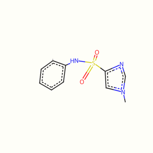 Cn1cnc(S(=O)(=O)Nc2[c]cccc2)c1